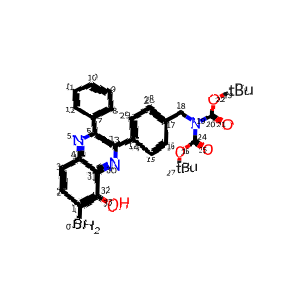 Bc1ccc2nc(-c3ccccc3)c(-c3ccc(CN(C(=O)OC(C)(C)C)C(=O)OC(C)(C)C)cc3)nc2c1O